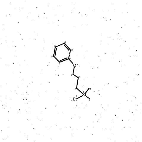 CC[Si](C)(C)CCCOc1ccccc1